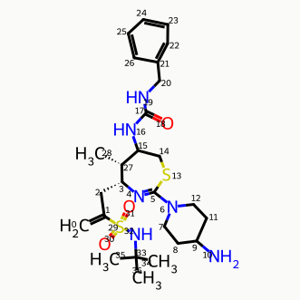 C=C(C[C@H]1N=C(N2CCC(N)CC2)SCC(NC(=O)NCc2ccccc2)[C@H]1C)S(=O)(=O)NC(C)(C)C